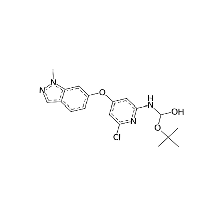 Cn1ncc2ccc(Oc3cc(Cl)nc(NC(O)OC(C)(C)C)c3)cc21